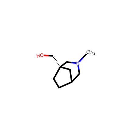 CN1CC2CC[C@](CO)(C2)C1